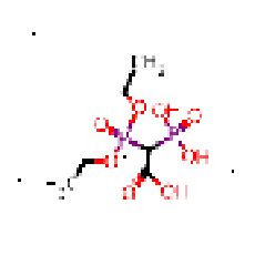 CCOP(=O)(OCC)C(C(=O)O)P(=O)(O)O